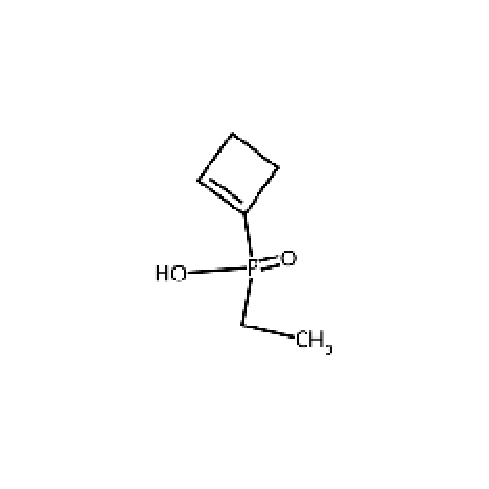 CCP(=O)(O)C1=CCC1